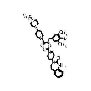 Cc1cc(C[C@@H](OC(=O)N2CCC(N3CCc4ccccc4NC3=O)CC2)C(=O)N2CCC(N3CCN(C)CC3)CC2)cc(C)c1Br